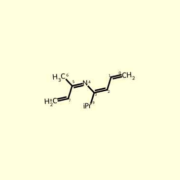 C=C/C=C(\N=C(\C)C=C)C(C)C